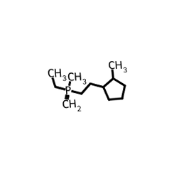 C=P(C)(CC)CCC1CCCC1C